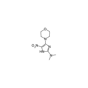 CN(C)c1nc(N2CCOCC2)c([N+](=O)[O-])[nH]1